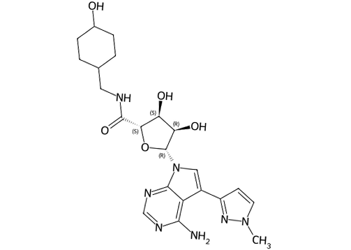 Cn1ccc(-c2cn([C@@H]3O[C@H](C(=O)NCC4CCC(O)CC4)[C@@H](O)[C@H]3O)c3ncnc(N)c23)n1